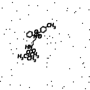 Cc1ccc(S(=O)(=O)N(CCCNC(=O)OC(C)(C)C)c2ccccc2)cc1